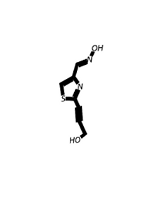 OCC#Cc1nc(C=NO)cs1